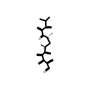 C=C(C=O)C(=C)C(=C)C(=C)[C@@H](C)C[C@@H](C)C(=O)C(=C)C(=C)C(C)C